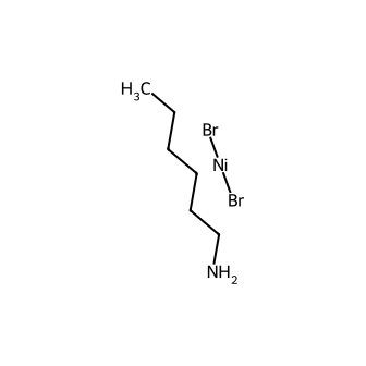 CCCCCCN.[Br][Ni][Br]